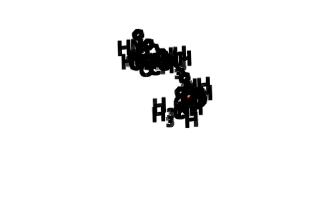 CN[C@@H](C)C(=O)N[C@H]1CCCC[C@H]2CC[C@@H](C(=O)NC(c3ccccc3)c3ccc(CCCCNC(=O)NCCCCc4ccc([C@@H](NC(=O)[C@@H]5CC[C@@H]6CCCC[C@H](NC(=O)[C@H](C)NC)C(=O)N65)c5ccccc5)cc4)cc3)N2C1=O